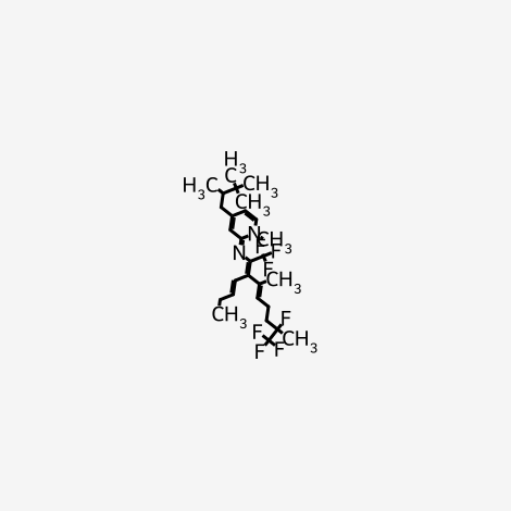 CC/C=C/C(C(/C)=C/CCC(C)(F)C(F)(F)F)=C(\N=c1\cc(CC(C)C(C)(C)C)ccn1C)C(F)(F)F